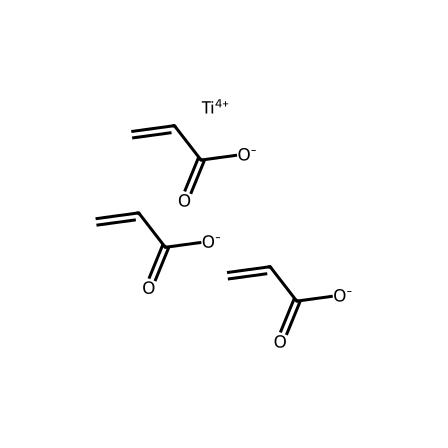 C=CC(=O)[O-].C=CC(=O)[O-].C=CC(=O)[O-].[Ti+4]